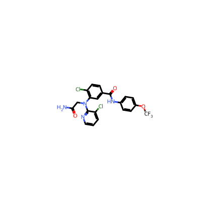 NC(=O)CN(c1cc(C(=O)Nc2ccc(OC(F)(F)F)cc2)ccc1Cl)c1ncccc1Cl